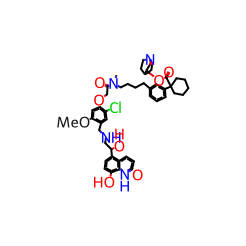 COc1cc(OCC(=O)N(C)CCCCc2cccc(C3(C(=O)OC4CN5CCC4CC5)CCCCC3)c2)c(Cl)cc1CNCC(O)c1ccc(O)c2[nH]c(=O)ccc12